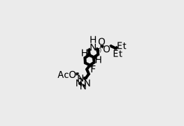 CCC(CC)COC(=O)[C@@H]1C[C@H]2C[C@@](F)(CCc3nnnn3COC(C)=O)CC[C@H]2CN1